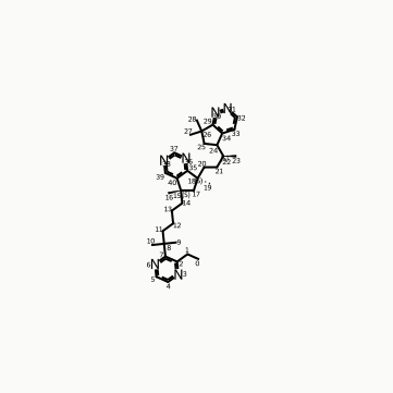 CCc1nccnc1C(C)(C)CCCC[C@@]1(C)C[C@](C)(CC[C@H](C)C2CC(C)(C)c3nnccc32)c2ncncc21